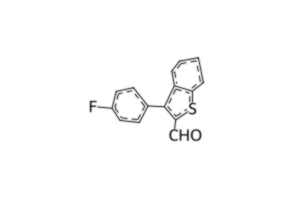 O=Cc1sc2ccccc2c1-c1ccc(F)cc1